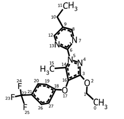 CCOc1nn(-c2ncc(CC)cn2)c(C)c1Oc1ccc(C(F)(F)F)cc1